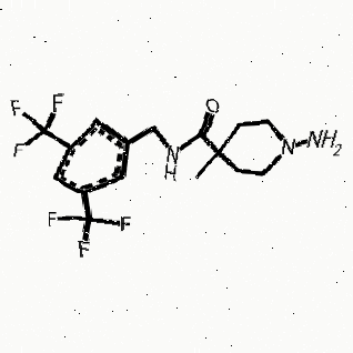 CC1(C(=O)NCc2cc(C(F)(F)F)cc(C(F)(F)F)c2)CCN(N)CC1